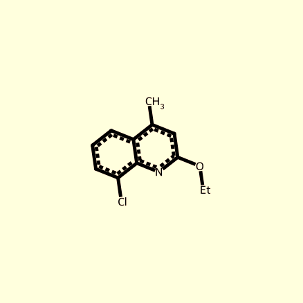 CCOc1cc(C)c2cccc(Cl)c2n1